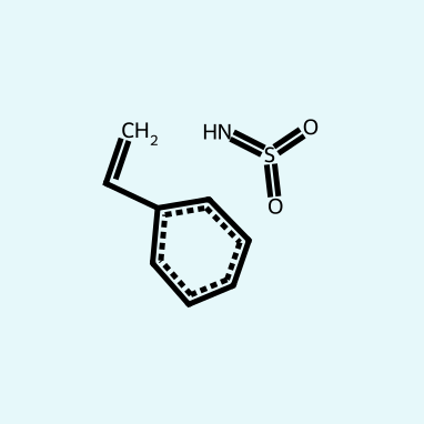 C=Cc1ccccc1.N=S(=O)=O